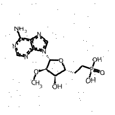 CO[C@@H]1[C@H](O)[C@@H](CCP(=O)(O)O)O[C@H]1n1cnc2c(N)ncnc21